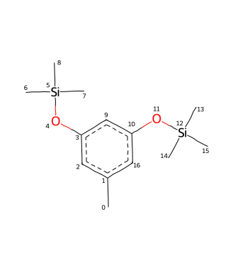 Cc1cc(O[Si](C)(C)C)cc(O[Si](C)(C)C)c1